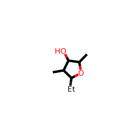 CCC1OC(C)C(O)C1C